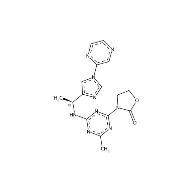 Cc1nc(N[C@@H](C)c2cn(-c3cnccn3)cn2)nc(N2CCOC2=O)n1